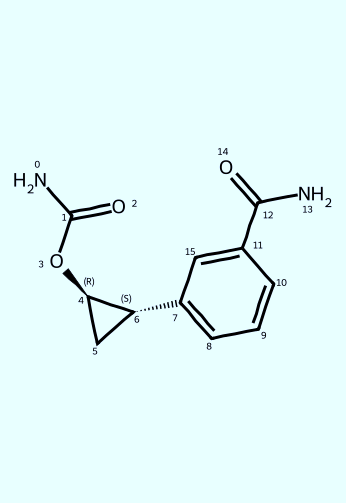 NC(=O)O[C@@H]1C[C@H]1c1cccc(C(N)=O)c1